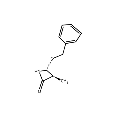 C[C@H]1C(=O)N[C@@H]1SCc1ccccc1